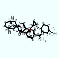 C[C@]1(O)CC[C@@H](Nc2cc(C(=O)N[C@H]3C[C@H]4CC[C@@H](C3)N4c3ccc(C(=O)C4CC4)cn3)ccc2C(N)=O)CC1